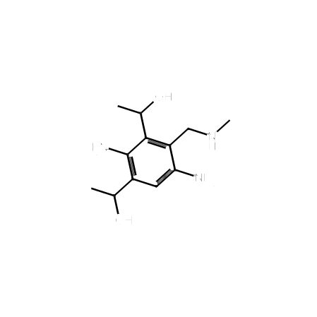 CNCc1c(N)cc(C(C)O)c(N)c1C(C)O